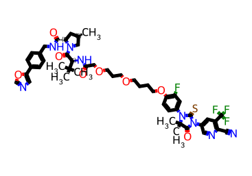 C[C@@H]1C[C@@H](C(=O)NCc2ccc(-c3cnco3)cc2)N(C(=O)[C@@H](NC(=O)COCCCOCCCCOc2ccc(N3C(=S)N(c4cnc(C#N)c(C(F)(F)F)c4)C(=O)C3(C)C)cc2F)C(C)(C)C)C1